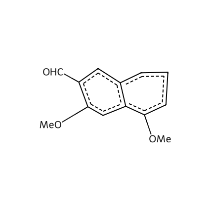 COc1cc2c(OC)cccc2cc1C=O